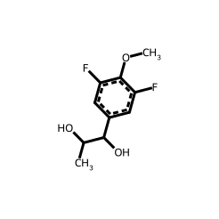 COc1c(F)cc(C(O)C(C)O)cc1F